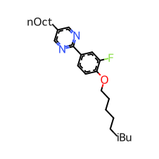 CCCCCCCCc1cnc(-c2ccc(OCCCCCC(C)CC)c(F)c2)nc1